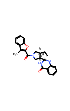 Cc1c(C(=O)N2C[C@H]3CC[C@]4(NC(=O)c5ccccc5N4)[C@H]3C2)oc2ccccc12